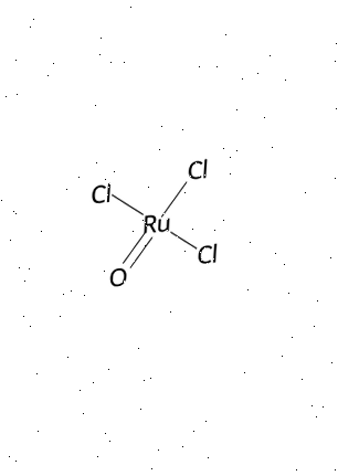 [O]=[Ru]([Cl])([Cl])[Cl]